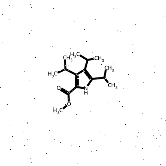 COC(=O)c1[nH]c(C(C)C)c(C(C)C)c1C(C)C